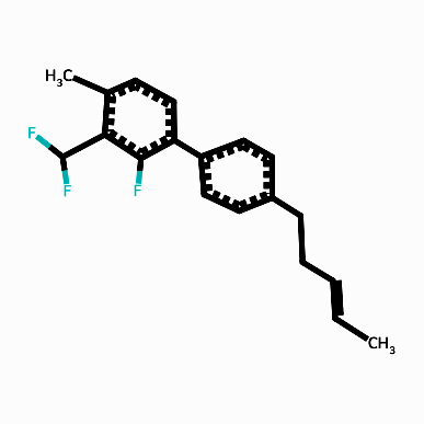 C/C=C/CCc1ccc(-c2ccc(C)c(C(F)F)c2F)cc1